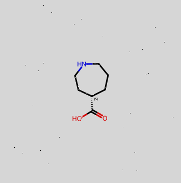 O=C(O)[C@H]1CCCNCC1